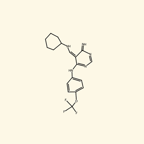 N=C1N=CN=C(Nc2ccc(OC(F)(F)F)cc2)/C1=C/NC1CCCCC1